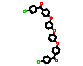 O=C(c1ccc(Cl)cc1)c1ccc(Oc2cccc(Oc3cccc(Oc4ccc(C(=O)c5ccc(Cl)cc5)cc4)c3)c2)cc1